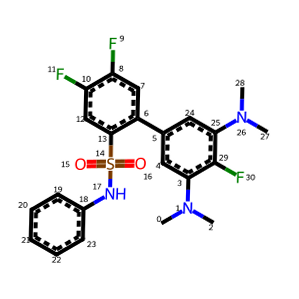 CN(C)c1cc(-c2cc(F)c(F)cc2S(=O)(=O)Nc2ccccc2)cc(N(C)C)c1F